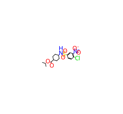 CC(C)OC(=O)C1CCC(NS(=O)(=O)c2ccc(Cl)c([N+](=O)[O-])c2)CC1